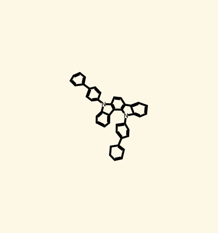 C1=CCCC(c2ccc(-n3c4ccccc4c4ccc5c(c6ccccc6n5-c5ccc(-c6ccccc6)cc5)c43)cc2)=C1